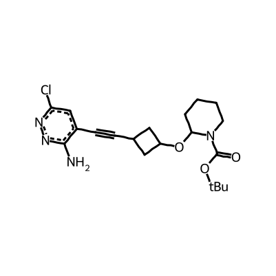 CC(C)(C)OC(=O)N1CCCCC1OC1CC(C#Cc2cc(Cl)nnc2N)C1